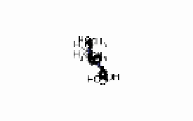 C[C@H](/C=C/CC(C)(C)O)C1CCC2/C(=C/C=C3C[C@@H](O)C4(CO4)[C@H](O)C3)CCCC21C